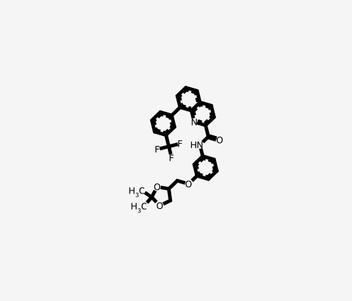 CC1(C)OCC(COc2cccc(NC(=O)c3ccc4cccc(-c5cccc(C(F)(F)F)c5)c4n3)c2)O1